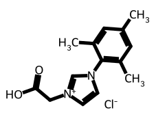 Cc1cc(C)c(-n2cc[n+](CC(=O)O)c2)c(C)c1.[Cl-]